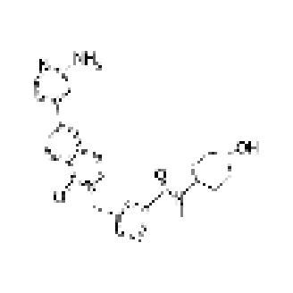 Nc1cc(-c2ccc3c(=O)n(Cc4cccc(C(=O)NC5CCC(O)CC5)c4)ccc3c2)ccn1